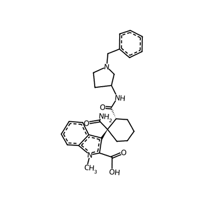 Cn1c(C(=O)O)c([C@]2(C(N)=O)CCCC[C@H]2C(=O)NC2CCN(Cc3ccccc3)C2)c2ccccc21